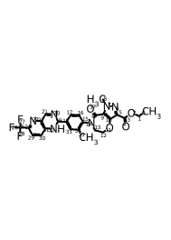 CCOC(=O)c1nn(C)c2c1OCCN(c1ccc(C3N=Cc4nc(C(F)(F)F)ccc4N3)cc1C)C2=O